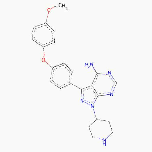 COc1ccc(Oc2ccc(-c3nn(C4CCNCC4)c4ncnc(N)c34)cc2)cc1